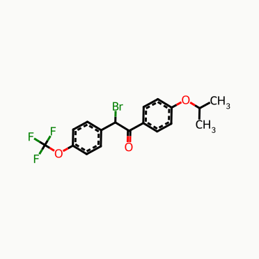 CC(C)Oc1ccc(C(=O)C(Br)c2ccc(OC(F)(F)F)cc2)cc1